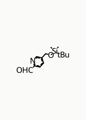 CC(C)(C)[Si](C)(C)OCc1ccc(C=O)nc1